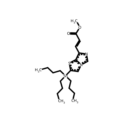 CCC[CH2][Sn]([CH2]CCC)([CH2]CCC)[c]1cn2cnc(/C=C/C(=O)OC)c2s1